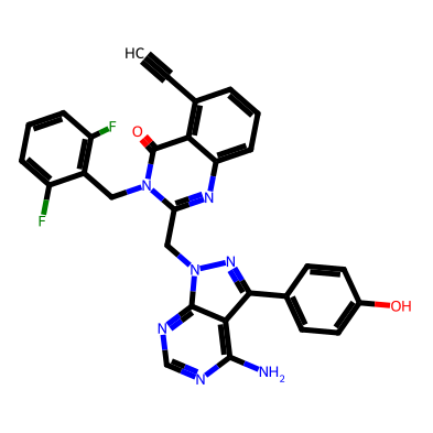 C#Cc1cccc2nc(Cn3nc(-c4ccc(O)cc4)c4c(N)ncnc43)n(Cc3c(F)cccc3F)c(=O)c12